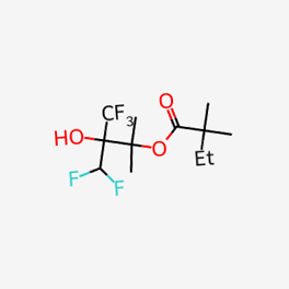 CCC(C)(C)C(=O)OC(C)(C)C(O)(C(F)F)C(F)(F)F